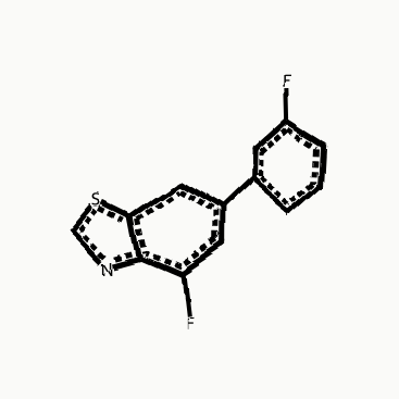 Fc1cc[c]c(-c2cc(F)c3ncsc3c2)c1